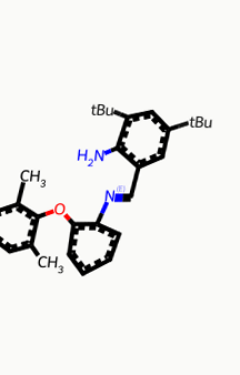 Cc1cccc(C)c1Oc1ccccc1/N=C/c1cc(C(C)(C)C)cc(C(C)(C)C)c1N